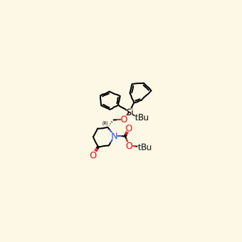 CC(C)(C)OC(=O)N1CC(=O)CC[C@@H]1CO[Si](c1ccccc1)(c1ccccc1)C(C)(C)C